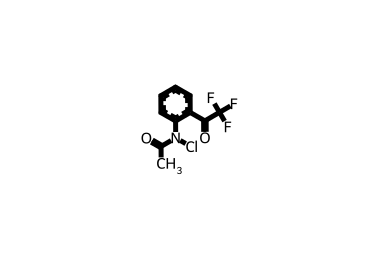 CC(=O)N(Cl)c1ccccc1C(=O)C(F)(F)F